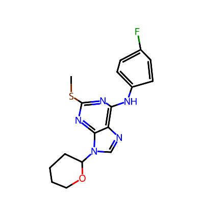 CSc1nc(Nc2ccc(F)cc2)c2ncn(C3CCCCO3)c2n1